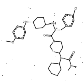 COc1ccc(N[C@H]2CC[C@H](N[C@H](Cc3ccc(Cl)cc3)C(=O)N3CCC(N(C(=O)N(C)C)C4CCCCC4)CC3)CC2)cc1